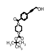 CC(C)(C)OC(=O)N1CCN(C(=O)c2ccc(C#CCO)cc2)CC1